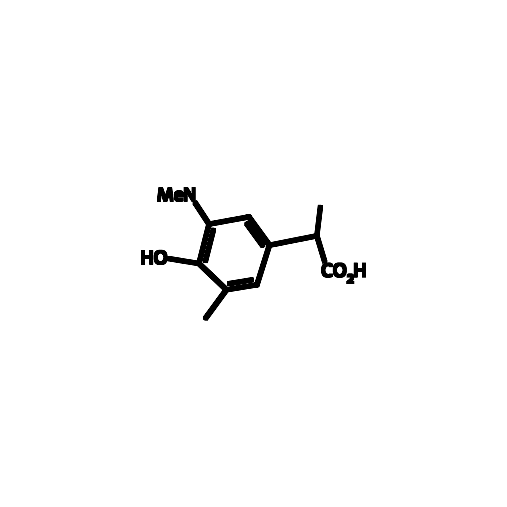 CNc1cc(C(C)C(=O)O)cc(C)c1O